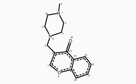 CN1CCN(Cc2coc3ccccc3c2=O)CC1